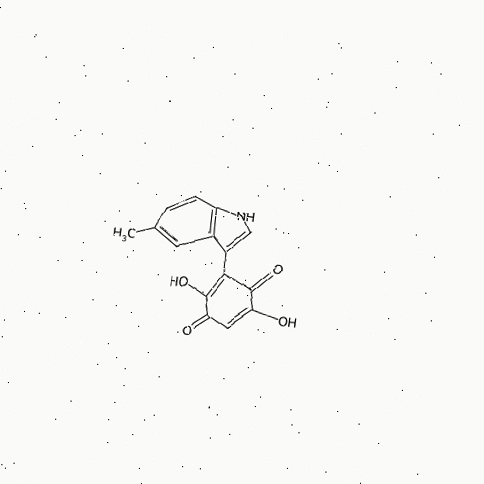 Cc1ccc2[nH]cc(C3=C(O)C(=O)C=C(O)C3=O)c2c1